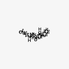 CC(=O)N1CC2(CC(Nc3cc(C(=O)N4CC[C@@H](N5CCc6ccccc6C5)[C@H](O)C4)ncn3)C2)C1